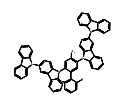 Fc1cccc(F)c1-c1cc(-n2c3ccccc3c3cc(-n4c5ccccc5c5ccccc54)ccc32)c(C(F)(F)F)cc1-n1c2ccccc2c2cc(-n3c4ccccc4c4ccccc43)ccc21